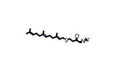 CC(C)=CCC/C(C)=C/CC/C(C)=C/CSCCC(=O)C=[N+]=[N-]